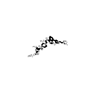 Cc1nc(NC(=O)O)sc1S(=O)(=O)N1CCN(C[C@H](C)Nc2ncnc3c(-c4cn(CCN(C)C)nc4C(F)(F)F)cccc23)CC1